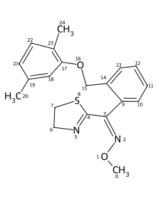 CON=C(C1=NCCS1)c1ccccc1COc1cc(C)ccc1C